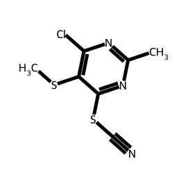 CSc1c(Cl)nc(C)nc1SC#N